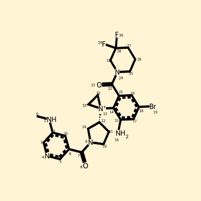 CNc1cncc(C(=O)N2CC[C@@H]([N+]3(c4c(N)cc(Br)cc4C(=O)N4CCCC(F)(F)C4)CC3)C2)c1